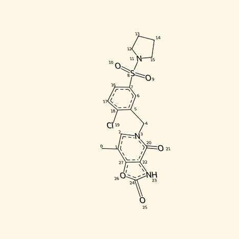 Cc1cn(Cc2cc(S(=O)(=O)N3CCCC3)ccc2Cl)c(=O)c2[nH]c(=O)oc12